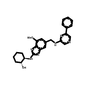 COc1cc(CNc2cncc(-c3ccccc3)n2)cc2sc(N[C@@H]3CCCC[C@H]3O)nc12